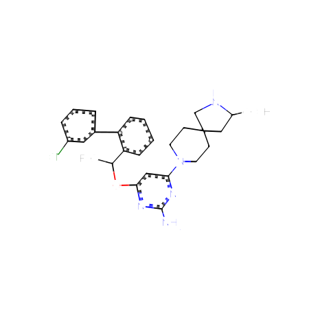 Nc1nc(OC(c2ccccc2-c2cccc(Cl)c2)C(F)(F)F)cc(N2CCC3(CC2)CNC(C(=O)O)C3)n1